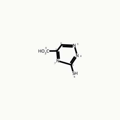 O=C(O)c1cnnc(S)n1